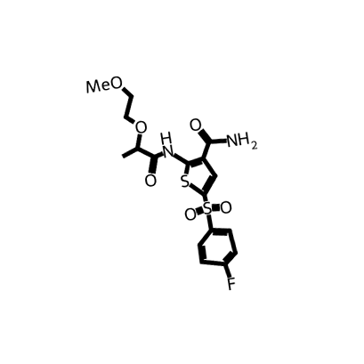 COCCOC(C)C(=O)Nc1sc(S(=O)(=O)c2ccc(F)cc2)cc1C(N)=O